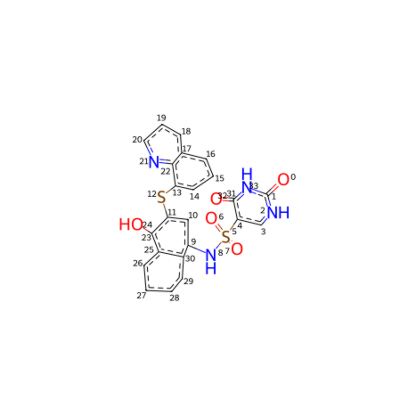 O=c1[nH]cc(S(=O)(=O)Nc2cc(Sc3cccc4cccnc34)c(O)c3ccccc23)c(=O)[nH]1